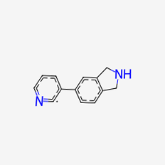 [c]1ncccc1-c1ccc2c(c1)CNC2